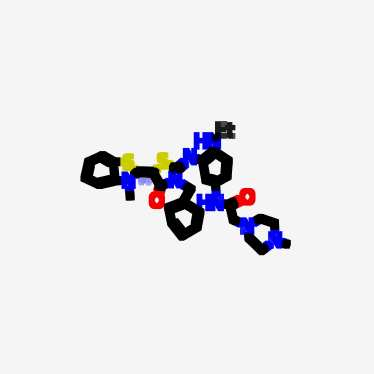 CCNc1ccc(NC(=O)CN2CCN(C)CC2)cc1N=C1S/C(=C2\Sc3ccccc3N2C)C(=O)N1Cc1ccccc1